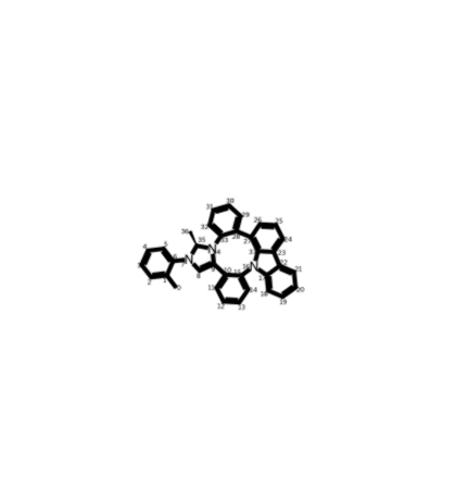 Cc1ccccc1N1C=c2c3ccccc3n3c4ccccc4c4cccc(c5ccccc5n2[C@@H]1C)c43